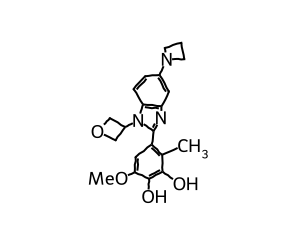 COc1cc(-c2nc3cc(N4CCC4)ccc3n2C2COC2)c(C)c(O)c1O